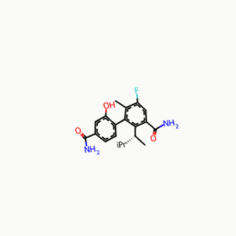 Cc1c(F)cc(C(N)=O)c([C@H](C)C(C)C)c1-c1ccc(C(N)=O)cc1O